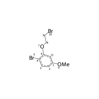 COc1ccc(Br)c(OCCBr)c1